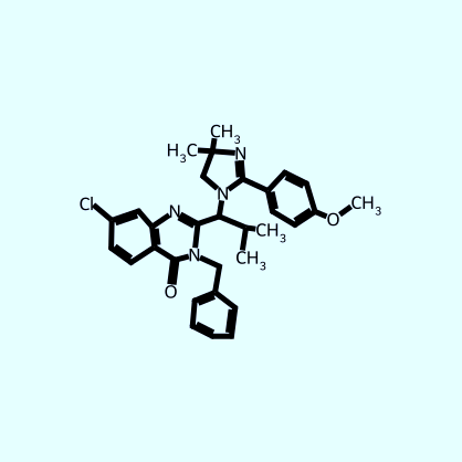 COc1ccc(C2=NC(C)(C)CN2C(c2nc3cc(Cl)ccc3c(=O)n2Cc2ccccc2)C(C)C)cc1